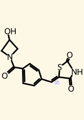 O=C1NC(=O)/C(=C/c2ccc(C(=O)N3CC(O)C3)cc2)S1